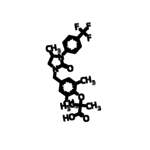 Cc1cc(CN2CC(C)N(c3ccc(C(F)(F)F)cc3)C2=O)cc(C)c1OC(C)(C)C(=O)O